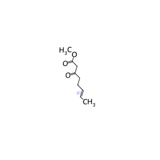 C/C=C/CCC(=O)CC(=O)OC